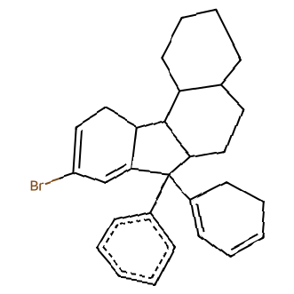 BrC1=CCC2C(=C1)C(C1=CC=CCC1)(c1ccccc1)C1CCC3CCCCC3C21